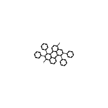 Ic1ccc2c3c(-c4ccccc4)c(-c4ccccc4)c(I)c4cccc(c5c(-c6ccccc6)c(-c6ccccc6)cc1c25)c43